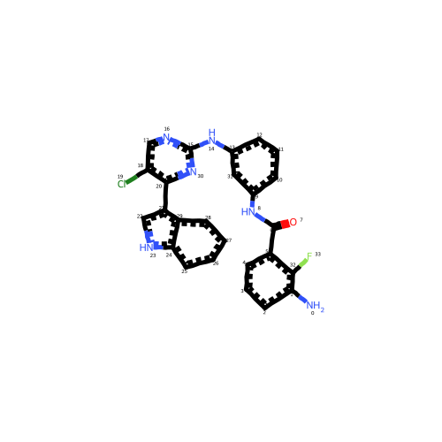 Nc1cccc(C(=O)Nc2cccc(Nc3ncc(Cl)c(-c4c[nH]c5ccccc45)n3)c2)c1F